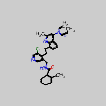 C=CN(/C=C\C)c1cc(C)nc2c(CCc3c(Cl)cncc3CNC(=O)C3CCCCC3C)cccc12